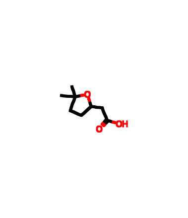 CC1(C)CCC(CC(=O)O)O1